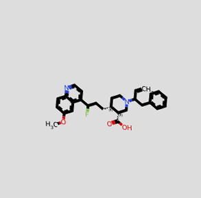 C=CC(Cc1ccccc1)N1CC[C@@H](CCC(F)c2ccnc3ccc(OC)cc23)[C@@H](C(=O)O)C1